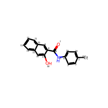 CCc1ccc(NC(=O)c2cc3ccccc3cc2O)cc1